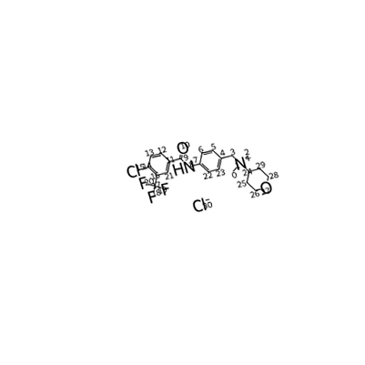 C[N+](C)(Cc1ccc(NC(=O)c2ccc(Cl)c(C(F)(F)F)c2)cc1)C1CCOCC1.[Cl-]